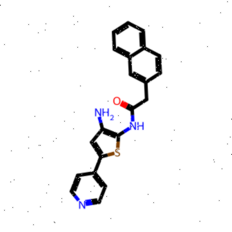 Nc1cc(-c2ccncc2)sc1NC(=O)Cc1ccc2ccccc2c1